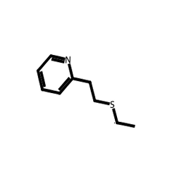 C[CH]SCCc1ccccn1